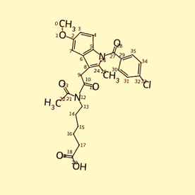 COc1ccc2c(c1)c(CC(=O)N(CCCCCC(=O)O)C(C)=O)c(C)n2C(=O)c1ccc(Cl)cc1